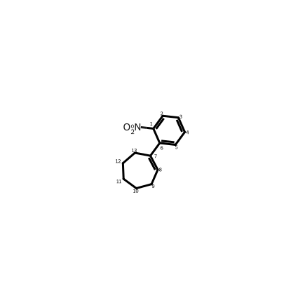 O=[N+]([O-])c1ccccc1C1=CCCCCC1